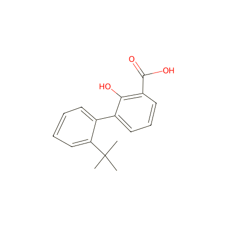 CC(C)(C)c1ccccc1-c1cccc(C(=O)O)c1O